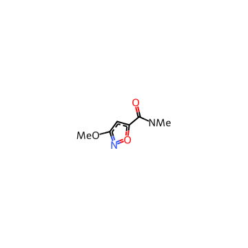 CNC(=O)c1cc(OC)no1